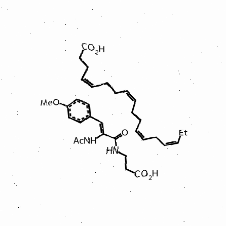 CC/C=C\C/C=C\CC/C=C\CC/C=C\CCC(=O)O.COc1ccc(/C=C(\NC(C)=O)C(=O)NCCC(=O)O)cc1